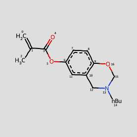 C=C(C)C(=O)Oc1ccc2c(c1)CN(CCCC)CO2